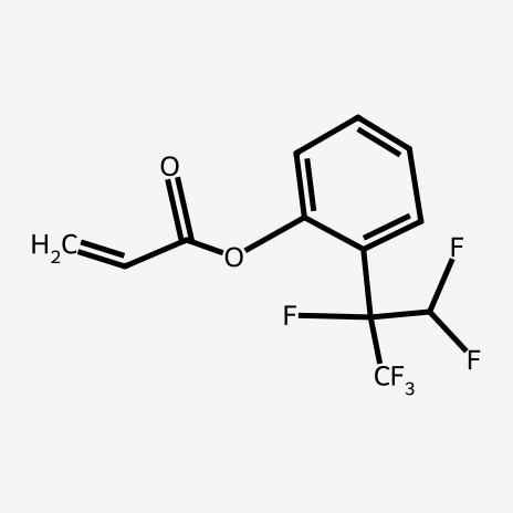 C=CC(=O)Oc1ccccc1C(F)(C(F)F)C(F)(F)F